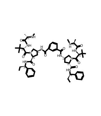 CC[C@@H](NC(=O)[C@@H]1C[C@H](NC(=O)c2cccc(C(=O)N[C@H]3C[C@@H](C(=O)N[C@H](CC)c4ccccc4)N(C(=O)[C@@H](NC(=O)[C@H](C)NC)C(C)(C)C)C3)c2)CN1C(=O)[C@@H](NC(=O)[C@H](C)NC)C(C)(C)C)c1ccccc1